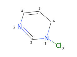 ClN1[C]=NC=CC1